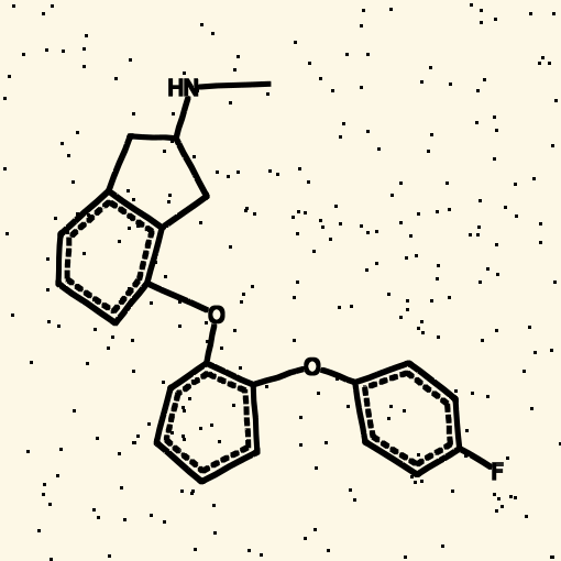 CNC1Cc2cccc(Oc3ccccc3Oc3ccc(F)cc3)c2C1